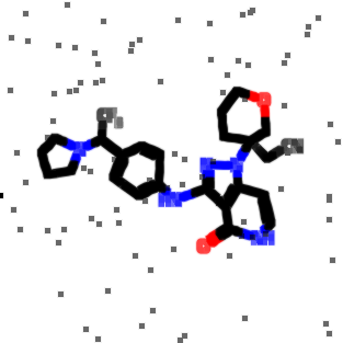 N#CC[C@@]1(n2nc(Nc3ccc(C(N4CCCC4)C(F)(F)F)cc3)c3c(=O)[nH]ccc32)CCCOC1